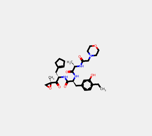 CCc1ccc(C[C@H](NC(=O)[C@H](C)NC(=O)CN2CCOCC2)C(=O)N[C@@H](CC2=CCCC2)C(=O)[C@]2(C)CO2)cc1O